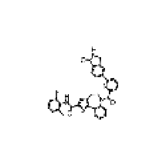 Cc1cccc(F)c1NC(=O)c1cc2c(s1)-c1ccccc1N(C(=O)c1cccc(-c3ccc4c(c3)CNC4=O)n1)CC2